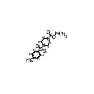 CCOC(=O)N1CCN(S(=O)(=O)c2ccc(O)cc2)CC1